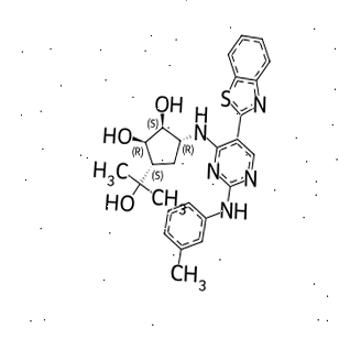 Cc1cccc(Nc2ncc(-c3nc4ccccc4s3)c(N[C@@H]3C[C@H](C(C)(C)O)[C@@H](O)[C@H]3O)n2)c1